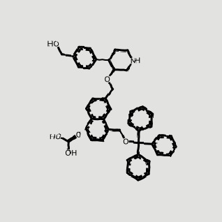 O=C(O)O.OCc1ccc(C2CCNCC2OCc2ccc3cccc(COC(c4ccccc4)(c4ccccc4)c4ccccc4)c3c2)cc1